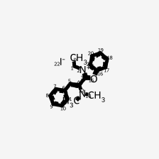 CC[n+]1c(C(=Cc2ccccc2)N(C)C)oc2ccccc21.[I-]